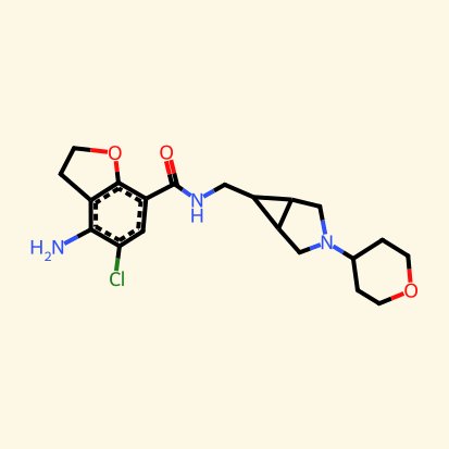 Nc1c(Cl)cc(C(=O)NCC2C3CN(C4CCOCC4)CC23)c2c1CCO2